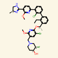 CCc1c(-c2cccc(-c3ccc(C4=N[C@@H](C)CN4)c(OC)n3)c2Cl)cccc1[C@H](C)Oc1nc(OC)c(CN2CC[C@H](O)[C@H](F)C2)cc1Br